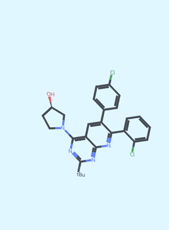 CC(C)(C)c1nc(N2CC[C@@H](O)C2)c2cc(-c3ccc(Cl)cc3)c(-c3ccccc3Cl)nc2n1